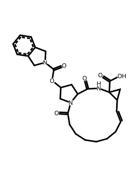 O=C1NC2(C(=O)O)CC2/C=C/CCCCCCC(=O)N2CC(OC(=O)N3Cc4ccccc4C3)CC12